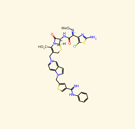 CO/N=C(\C(=O)N[C@@H]1C(=O)N2C(C(=O)O)=C(C[n+]3ccc4c(ccn4Cc4cc(C(=N)Nc5ccccc5)cs4)c3)CS[C@H]12)c1nc(N)sc1Cl